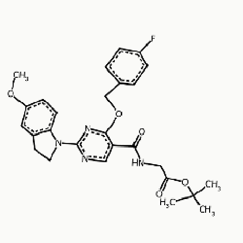 COc1ccc2c(c1)CCN2c1ncc(C(=O)NCC(=O)OC(C)(C)C)c(OCc2ccc(F)cc2)n1